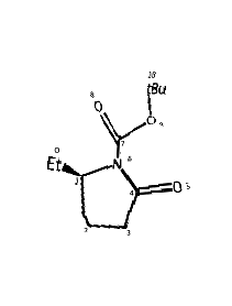 CC[C@@H]1CCC(=O)N1C(=O)OC(C)(C)C